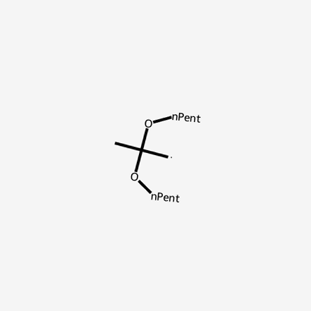 [CH2]C(C)(OCCCCC)OCCCCC